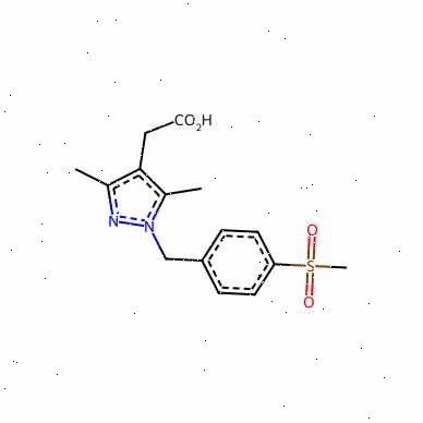 Cc1nn(Cc2ccc(S(C)(=O)=O)cc2)c(C)c1CC(=O)O